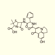 CC1(C)SC2C(NC(=O)C(NC(=O)c3cn4c5c(cc(O)cc5c3=O)CCC4)c3ccccc3)C(=O)N2C1C(=O)O